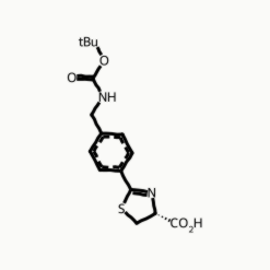 CC(C)(C)OC(=O)NCc1ccc(C2=N[C@H](C(=O)O)CS2)cc1